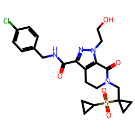 O=C(NCc1ccc(Cl)cc1)c1nn(CCO)c2c1CCN(CC1(S(=O)(=O)C3CC3)CC1)C2=O